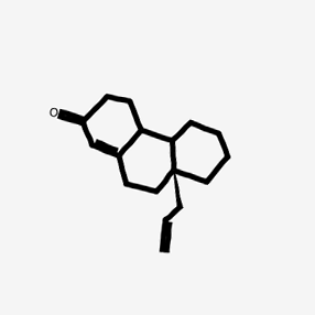 C=CC[C@]12CCCCC1C1CCC(=O)C=C1CC2